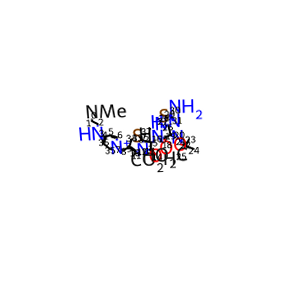 CNCCNc1cc[n+](CC2=C(C(=O)O)N3C(=O)[C@@H](NC(=O)/C(=N\OC(C)(C)C(=O)O)c4nsc(N)n4)[C@H]3SC2)cc1